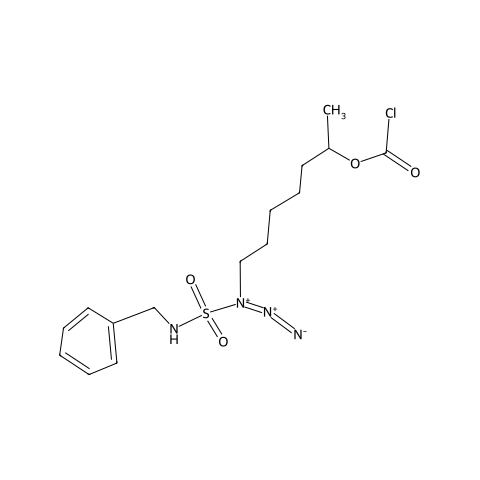 CC(CCCCC[N+](=[N+]=[N-])S(=O)(=O)NCc1ccccc1)OC(=O)Cl